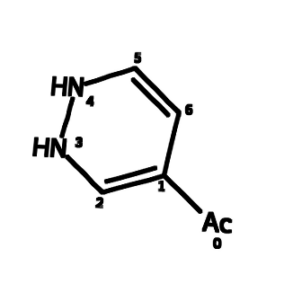 CC(=O)C1=CNNC=C1